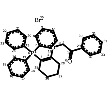 O=C(COC1=C([P+](c2ccccc2)(c2ccccc2)c2ccccc2)CCCC1)c1ccccc1.[Br-]